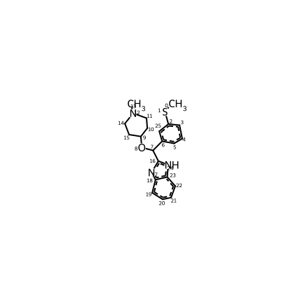 CSc1cccc(C(OC2CCN(C)CC2)c2nc3ccccc3[nH]2)c1